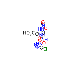 O=C(Nc1cc(Cl)ccc1-n1cnnn1)C(=O)N[C@@H](Cc1ccc(NC(=O)N2CCOCC2)cc1)C(=O)Nc1ccc(C(=O)O)cc1